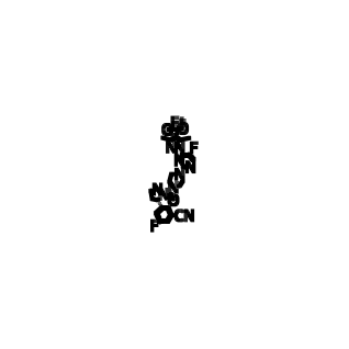 CCS(=O)(=O)c1c(C)nn(-c2nc(N3CCN(C(=O)N4N=CC[C@H]4c4cc(F)cc(C#N)c4)CC3)ncc2F)c1C